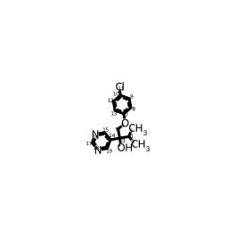 CC(C)C(O)(COc1ccc(Cl)cc1)c1cncnc1